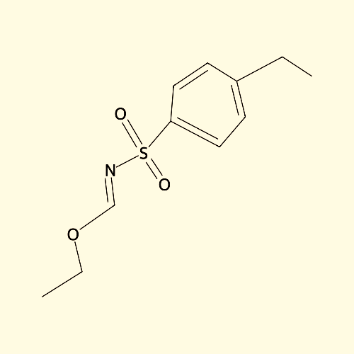 CCOC=NS(=O)(=O)c1ccc(CC)cc1